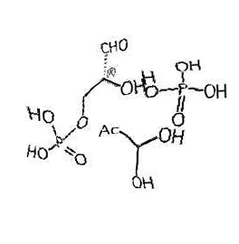 CC(=O)C(O)O.O=C[C@H](O)COP(=O)(O)O.O=P(O)(O)O